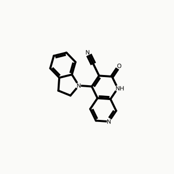 N#Cc1c(N2CCc3ccccc32)c2ccncc2[nH]c1=O